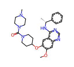 COc1cc2ncnc(N[C@H](C)c3ccccc3)c2cc1OC1CCN(C(=O)N2CCN(C)CC2)CC1